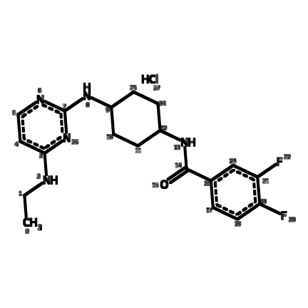 CCNc1ccnc(NC2CCC(NC(=O)c3ccc(F)c(F)c3)CC2)n1.Cl